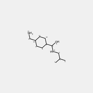 CC(C)CNC(O)C1CCC(CN)CC1